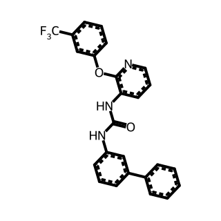 O=C(Nc1cccc(-c2ccccc2)c1)Nc1cccnc1Oc1cccc(C(F)(F)F)c1